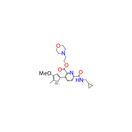 COC1=C(C)[C@@H](C)C(c2ccc(C(=O)NCC3CC3)nc2C(=O)OCCN2CCOCC2)=C1